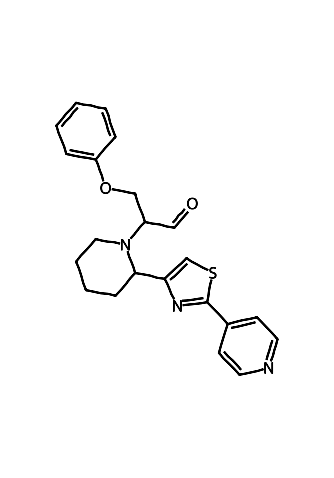 O=CC(COc1ccccc1)N1CCCCC1c1csc(-c2ccncc2)n1